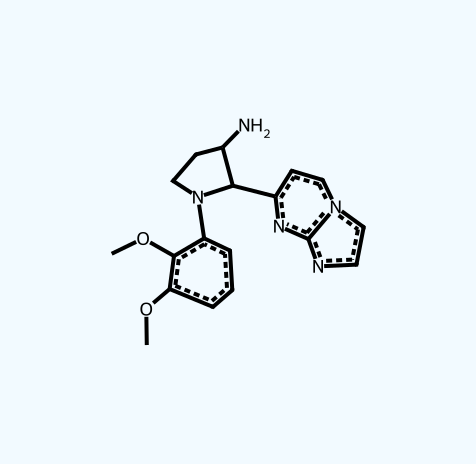 COc1cccc(N2CCC(N)C2c2ccn3ccnc3n2)c1OC